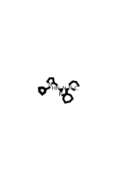 c1ccc(CN2CCCC2CNc2nc3c(c(N4CCCCCC4)n2)CCCCC3)cc1